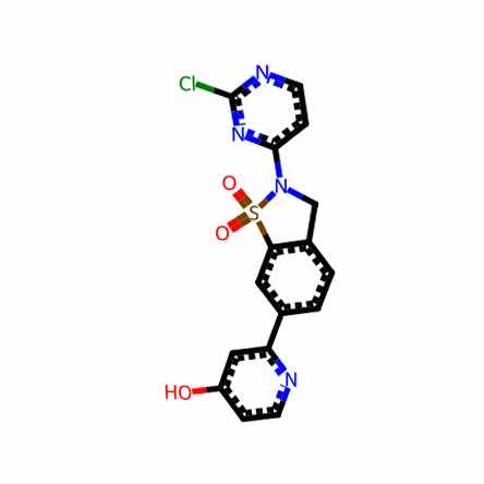 O=S1(=O)c2cc(-c3cc(O)ccn3)ccc2CN1c1ccnc(Cl)n1